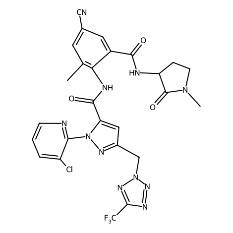 Cc1cc(C#N)cc(C(=O)NC2CCN(C)C2=O)c1NC(=O)c1cc(Cn2nnc(C(F)(F)F)n2)nn1-c1ncccc1Cl